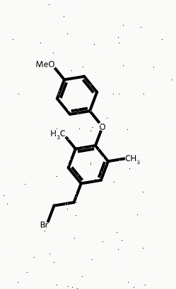 COc1ccc(Oc2c(C)cc([CH]CBr)cc2C)cc1